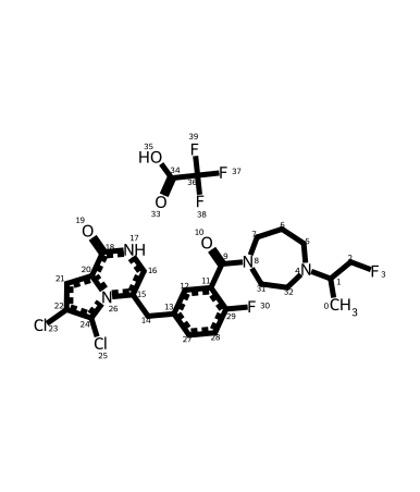 CC(CF)N1CCCN(C(=O)c2cc(Cc3c[nH]c(=O)c4cc(Cl)c(Cl)n34)ccc2F)CC1.O=C(O)C(F)(F)F